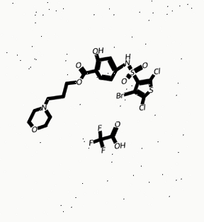 O=C(O)C(F)(F)F.O=C(OCCCN1CCOCC1)c1ccc(NS(=O)(=O)c2c(Cl)sc(Cl)c2Br)cc1O